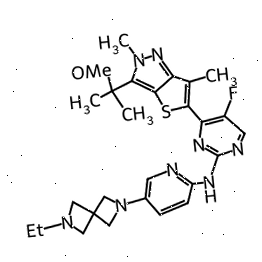 CCN1CC2(C1)CN(c1ccc(Nc3ncc(F)c(-c4sc5c(C(C)(C)OC)n(C)nc5c4C)n3)nc1)C2